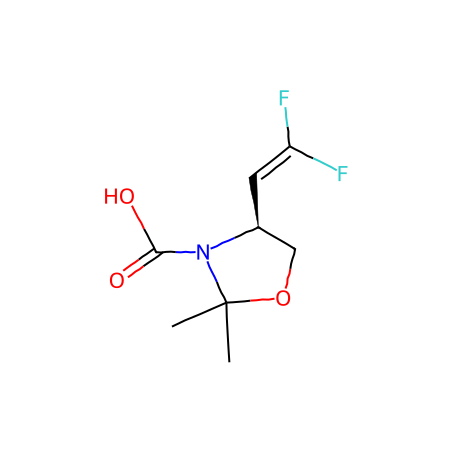 CC1(C)OC[C@H](C=C(F)F)N1C(=O)O